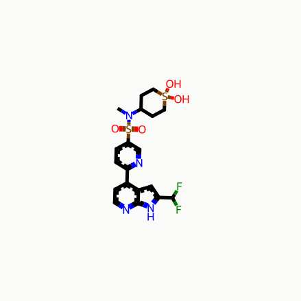 CN(C1CCS(O)(O)CC1)S(=O)(=O)c1ccc(-c2ccnc3[nH]c(C(F)F)cc23)nc1